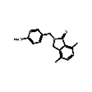 COc1ccc(CN2Cc3c(C)ccc(C)c3C2=O)cc1